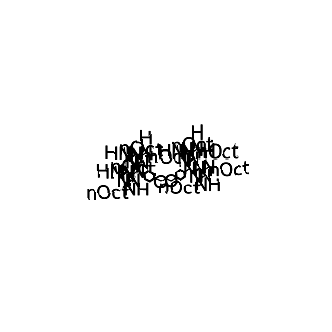 CCCCCCCCNc1nc(NCCCCCCCC)nc(N(c2ccc(OCOc3ccc(N(c4nc(NCCCCCCCC)nc(NCCCCCCCC)n4)c4nc(NCCCCCCCC)nc(NCCCCCCCC)n4)cc3)cc2)c2nc(NCCCCCCCC)nc(NCCCCCCCC)n2)n1